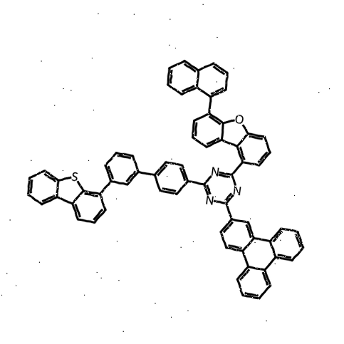 c1cc(-c2ccc(-c3nc(-c4ccc5c6ccccc6c6ccccc6c5c4)nc(-c4cccc5oc6c(-c7cccc8ccccc78)cccc6c45)n3)cc2)cc(-c2cccc3c2sc2ccccc23)c1